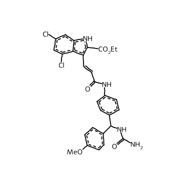 CCOC(=O)c1[nH]c2cc(Cl)cc(Cl)c2c1/C=C/C(=O)Nc1ccc(C(NC(N)=O)c2ccc(OC)cc2)cc1